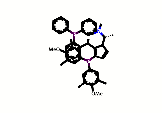 COc1c(C)cc(P(C2=C(C(C)c3ccccc3P(c3ccccc3)c3ccccc3)C([C@@H](C)N(C)C)C=C2)c2cc(C)c(OC)c(C)c2)cc1C